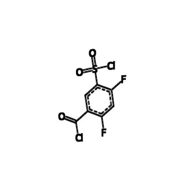 O=C(Cl)c1cc(S(=O)(=O)Cl)c(F)cc1F